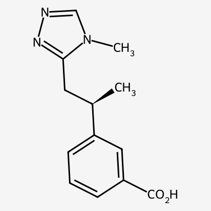 C[C@H](Cc1nncn1C)c1cccc(C(=O)O)c1